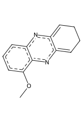 COc1cccc2nc3c(nc12)=CCCC=3